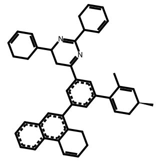 CC1=C[C@@H](C)CC=C1c1cc(C2=NC(C3C=CC=CC3)=NC(C3=CC=CCC3)C2)cc(-c2cc3ccccc3c3c2CCC=C3)c1